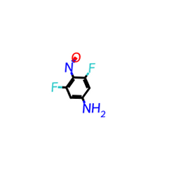 Nc1cc(F)c(N=O)c(F)c1